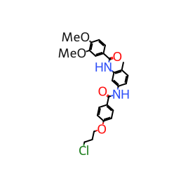 COc1ccc(C(=O)Nc2cc(NC(=O)c3ccc(OCCCCl)cc3)ccc2C)cc1OC